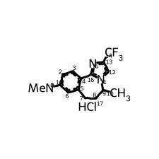 CNc1ccc2c(c1)CCC(C)n1cc(C(F)(F)F)nc1-2.Cl